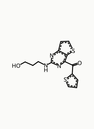 O=C(c1cccs1)c1nc(NCCCO)nc2ccsc12